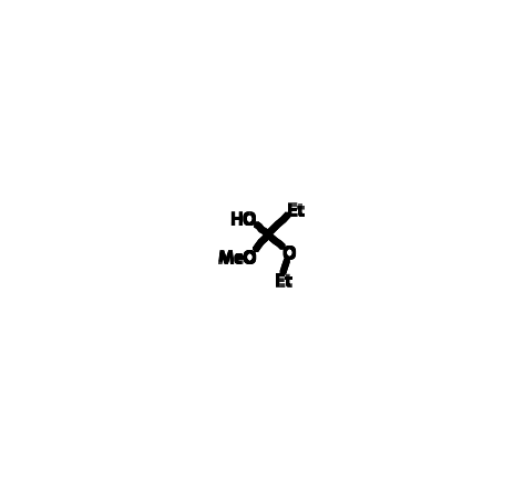 [CH2]CC(O)(OC)OCC